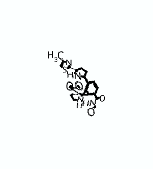 Cc1csc([C@H]2CCC(c3ccc(C(=O)NC=O)c4c3C43NCCS3(=O)=O)N2)n1